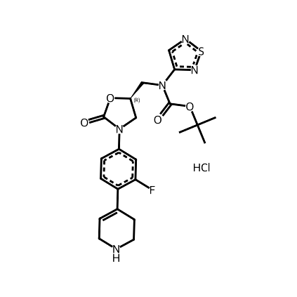 CC(C)(C)OC(=O)N(C[C@H]1CN(c2ccc(C3=CCNCC3)c(F)c2)C(=O)O1)c1cnsn1.Cl